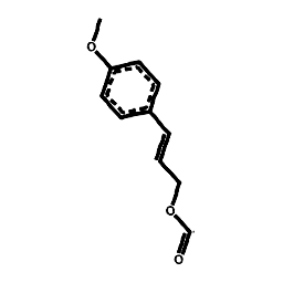 COc1ccc(C=CCO[C]=O)cc1